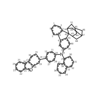 c1ccc2c(c1)-c1cc(N(c3ccc(-c4ccc5c(c4)oc4ccccc45)cc3)c3cccc4ccccc34)ccc1C21C2CC3CC(C2)CC1C3